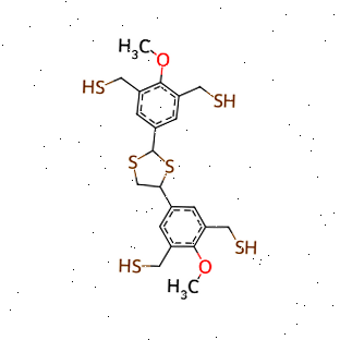 COc1c(CS)cc(C2CSC(c3cc(CS)c(OC)c(CS)c3)S2)cc1CS